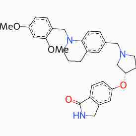 COc1ccc(CN2CCCc3cc(CN4CC[C@H](Oc5ccc6c(c5)CNC6=O)C4)ccc32)c(OC)c1